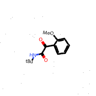 COc1ccccc1C(=O)C(=O)NC(C)(C)C